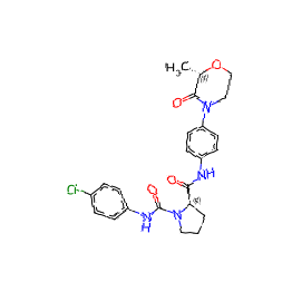 C[C@@H]1OCCN(c2ccc(NC(=O)[C@H]3CCCN3C(=O)Nc3ccc(Cl)cc3)cc2)C1=O